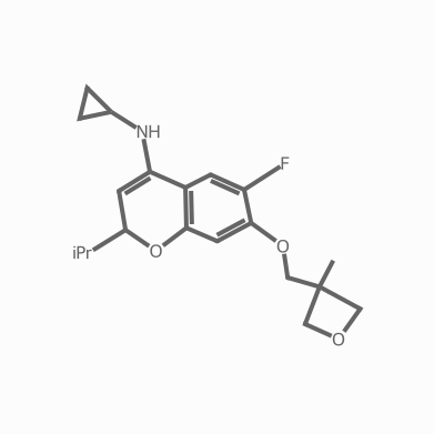 CC(C)C1C=C(NC2CC2)c2cc(F)c(OCC3(C)COC3)cc2O1